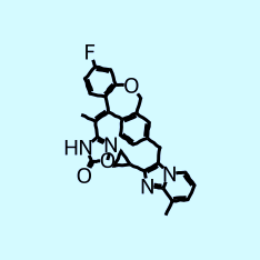 C/C(=C1/c2ccc(Cc3c(C4CC4)nc4c(C)cccn34)cc2COc2cc(F)ccc21)c1noc(=O)[nH]1